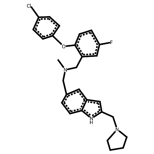 CN(Cc1ccc2[nH]c(CN3CCCC3)cc2c1)Cc1cc(F)ccc1Oc1ccc(Cl)cc1